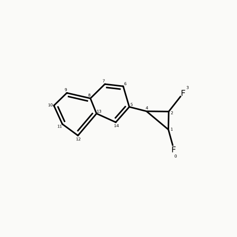 FC1C(F)C1c1ccc2ccccc2c1